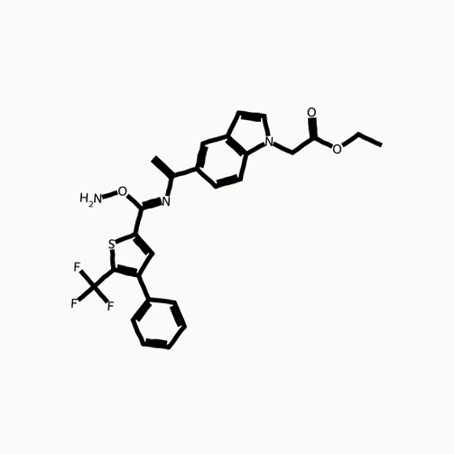 C=C(/N=C(\ON)c1cc(-c2ccccc2)c(C(F)(F)F)s1)c1ccc2c(ccn2CC(=O)OCC)c1